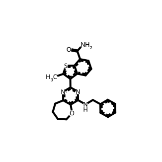 Cc1sc2c(C(N)=O)cccc2c1-c1nc2c(c(NCc3ccccc3)n1)OCCCC2